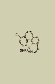 COC1(c2ccc(Cl)cc2)NC=N[n+]2ccc3ccccc3c21.[Cl-]